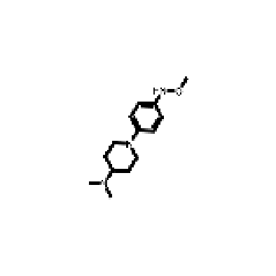 CONc1ccc(N2CCC(N(C)C)CC2)cc1